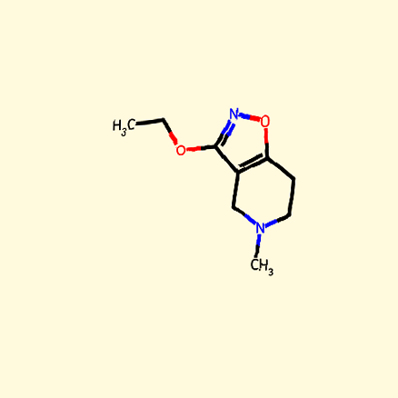 CCOc1noc2c1CN(C)CC2